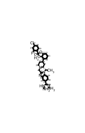 CCn1c(CN2CCC(c3cccc4c3OC(C)(c3ccc(Cl)cc3F)O4)CC2)nc2cc(/C(=N/N)NN)ccc21